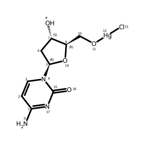 Nc1ccn([C@H]2C[C@H](O)[C@@H](C[O][Hg][Cl])O2)c(=O)n1